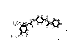 COc1cc(OC)c(NC(=S)Nc2ccc(NC(=O)c3cccnc3)cc2)cc1Cl